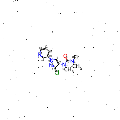 CCN(C)C(=O)N(C)c1cn(-c2cccnc2)nc1Cl